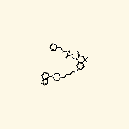 CC1(C)CC(=O)N(COC(=O)NOCc2ccccc2)c2cc(OCCCCN3CCN(c4cccc5sccc45)CC3)ccc21